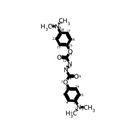 CN(C)c1ccc(OC(=O)/N=N/C(=O)Oc2ccc(N(C)C)cc2)cc1